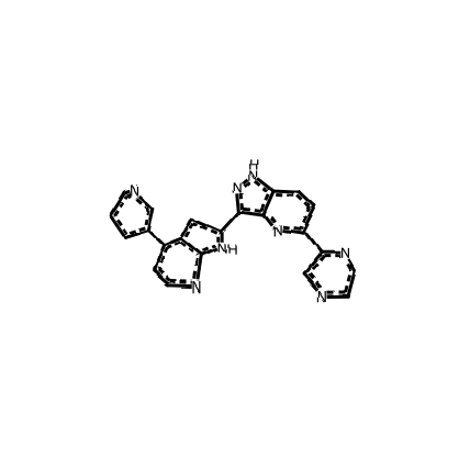 c1cncc(-c2ccnc3[nH]c(-c4n[nH]c5ccc(-c6cnccn6)nc45)cc23)c1